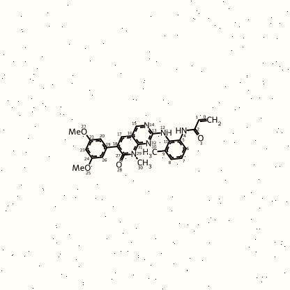 C=CC(=O)Nc1cccc(C)c1Nc1ncc2cc(-c3cc(OC)cc(OC)c3)c(=O)n(C)c2n1